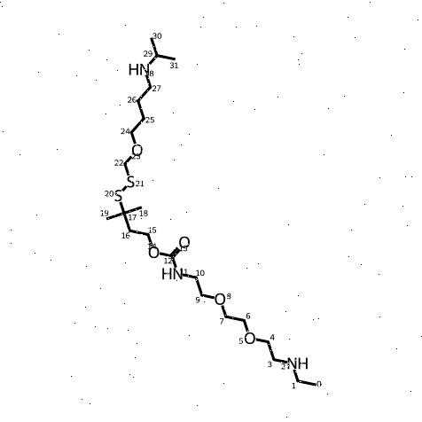 CCNCCOCCOCCNC(=O)OCCC(C)(C)SSCOCCCCNC(C)C